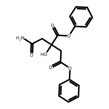 NC(=O)CC(O)(CC(=O)Oc1ccccc1)C(=O)Oc1ccccc1